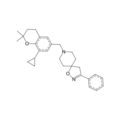 CC1(C)CCc2cc(CN3CCC4(CC3)CC(c3ccccc3)=NO4)cc(C3CC3)c2O1